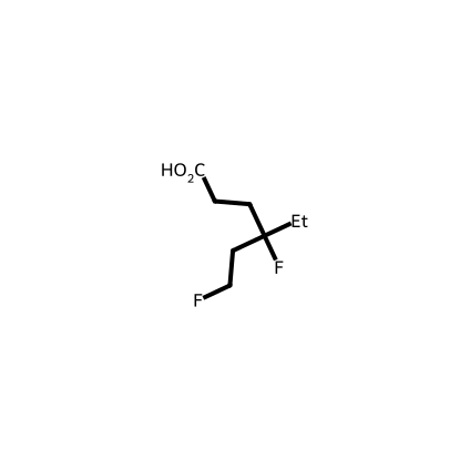 CCC(F)(CCF)CCC(=O)O